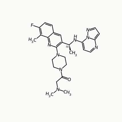 Cc1c(F)ccc2cc([C@H](C)Nc3ccnc4ccnn34)c(N3CCN(C(=O)CN(C)C)CC3)nc12